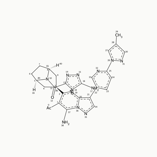 CC(=O)c1c([C@H]2C[C@H]3CC[C@@H](C2)N3C(=O)c2nnc(N)[nH]2)nc2c(-c3ccc(-n4cc(C)cn4)nc3)cnn2c1N